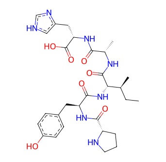 CC[C@H](C)[C@H](NC(=O)[C@H](Cc1ccc(O)cc1)NC(=O)[C@@H]1CCCN1)C(=O)N[C@@H](C)C(=O)N[C@@H](Cc1c[nH]cn1)C(=O)O